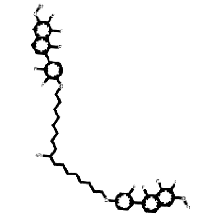 CCCC(CCCCCCCCOc1ccc(-c2ccc3cc(OCC)c(F)c(F)c3c2F)c(F)c1)CCCCCCCCOc1ccc(-c2ccc3cc(OCC)c(F)c(F)c3c2F)c(F)c1F